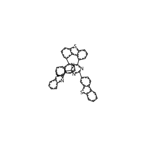 c1ccc(-c2nc(-c3ccc4c(c3)sc3ccccc34)nc(-c3cccc4sc5cccc(-c6cccc(-c7nc8ccccc8s7)c6)c5c34)n2)cc1